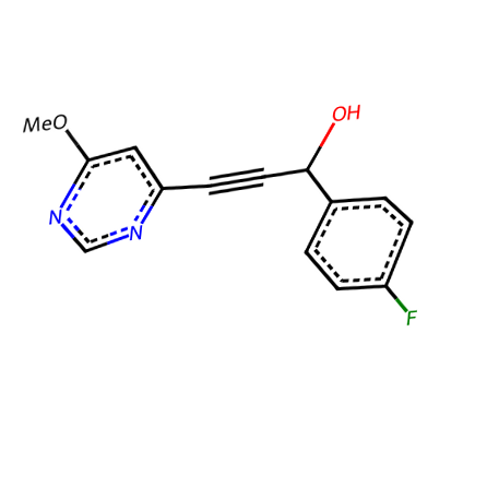 COc1cc(C#CC(O)c2ccc(F)cc2)ncn1